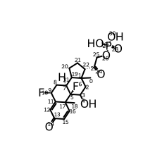 CC12CC(O)[C@@]3(F)[C@@H](C[C@H](F)C4=CC(=O)C=CC43C)C1CC[C@@H]2C(=O)COP(=O)(O)O